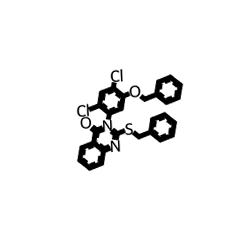 O=c1c2ccccc2nc(SCc2ccccc2)n1-c1cc(OCc2ccccc2)c(Cl)cc1Cl